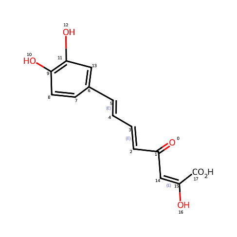 O=C(/C=C/C=C/c1ccc(O)c(O)c1)/C=C(/O)C(=O)O